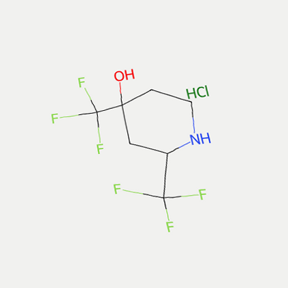 Cl.OC1(C(F)(F)F)CCNC(C(F)(F)F)C1